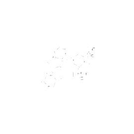 Cc1ccc2c(c1-c1cc(C(F)(F)F)cc(C(F)(F)F)c1)C=C(c1ccccc1)[CH]2